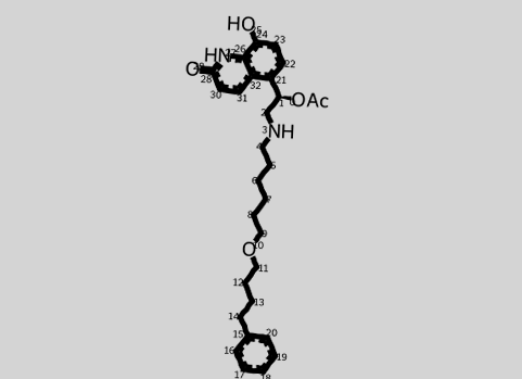 CC(=O)O[C@@H](CNCCCCCCOCCCCc1ccccc1)c1ccc(O)c2[nH]c(=O)ccc12